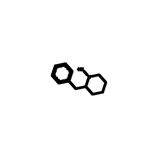 [NH]N1CCCCC1Cc1ccccc1